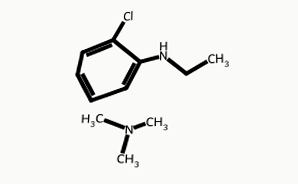 CCNc1ccccc1Cl.CN(C)C